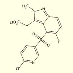 CCOC(=O)CC1=c2c(S(=O)(=O)c3ccc(Cl)nc3)c(F)ccc2=NC1C